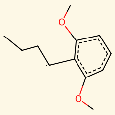 CCC[CH]c1c(OC)cccc1OC